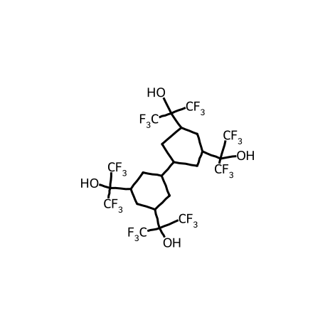 OC(C1CC(C2CC(C(O)(C(F)(F)F)C(F)(F)F)CC(C(O)(C(F)(F)F)C(F)(F)F)C2)CC(C(O)(C(F)(F)F)C(F)(F)F)C1)(C(F)(F)F)C(F)(F)F